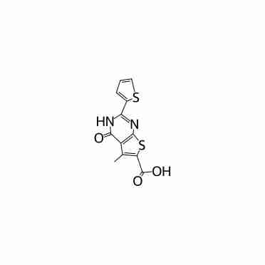 Cc1c(C(=O)O)sc2nc(-c3cccs3)[nH]c(=O)c12